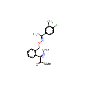 CNC(=O)/C(=N/OC)c1ccccc1CO/N=C(\C)c1ccc(Cl)c(C)c1